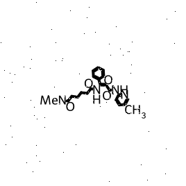 CNC(=O)CCCCC(=O)Nc1c(C(=O)Nc2ccc(C)cn2)oc2ccccc12